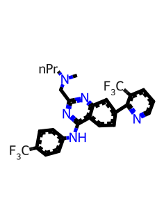 CCCN(C)Cc1nc(Nc2ccc(C(F)(F)F)cc2)c2ccc(-c3ncccc3C(F)(F)F)cc2n1